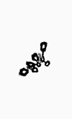 C1=CCCC(C2CC(c3ccccc3)NC(N3c4ccccc4C4C(c5cccc6c5c5c(n6C6=CCCC=C6)CCC=C5)=CC=CC43)C2)=C1